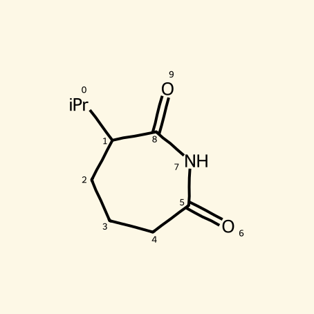 CC(C)C1CCCC(=O)NC1=O